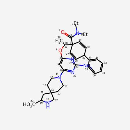 CCN(CC)C(=O)C1([C@@H](Oc2cc(N3CCC4(CC3)CNC(C(=O)O)C4)nc(N)n2)C(F)(F)F)C=CC(c2ccccc2)C=C1